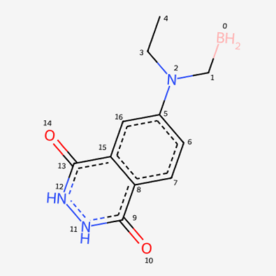 BCN(CC)c1ccc2c(=O)[nH][nH]c(=O)c2c1